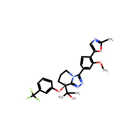 COc1cc(-c2nnc3n2CCC[C@@]3(Oc2cccc(C(F)(F)F)c2)C(C)(C)O)ccc1-c1cnc(C)o1